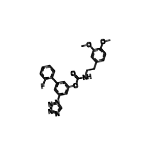 COc1ccc(CCNC(=O)Oc2cc(-c3ccccc3F)cc(-n3cnnn3)c2)cc1OC